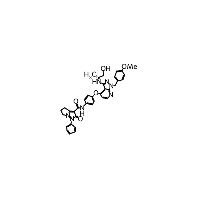 COc1ccc(Cn2nc(N[C@H](C)CO)c3c(Oc4ccc(NC(=O)c5c6n(n(-c7ccccc7)c5=O)CCC6)cc4)ccnc32)cc1